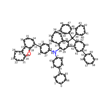 c1ccc(-c2ccc(N(c3ccc(-c4cccc5c4oc4ccccc45)cc3)c3cc4c(c5ccccc35)C(c3ccccc3)(c3ccccc3)c3ccc(-c5ccccc5)cc3-4)cc2)cc1